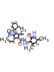 C=Nc1c(/C=C\C)c(C(=O)NCc2c(C)cc(C)[nH]c2=O)c(C)n1C1CCCC1